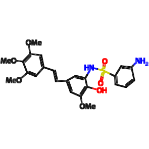 COc1cc(C=Cc2cc(OC)c(OC)c(OC)c2)cc(NS(=O)(=O)c2cccc(N)c2)c1O